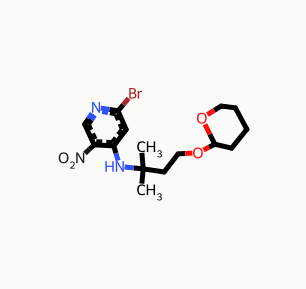 CC(C)(CCOC1CCCCO1)Nc1cc(Br)ncc1[N+](=O)[O-]